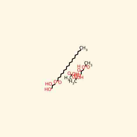 CC(=O)O.CC(=O)O.CC(=O)OCC(O)CO.CCCCCCCCCCCCCCCCCC(=O)OCC(O)CO